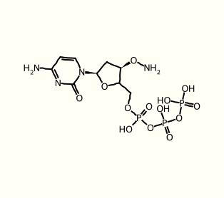 NO[C@@H]1C[C@H](n2ccc(N)nc2=O)OC1COP(=O)(O)OP(=O)(O)OP(=O)(O)O